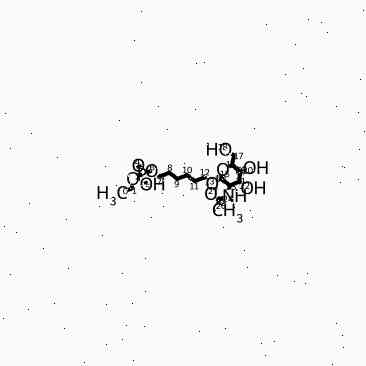 CCOP(=O)(O)OCCCCCCO[C@@H]1OC(CO)[C@H](O)C(O)C1NC(C)=O